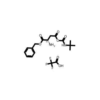 CC(C)(C)NC(=O)OC(=O)C[C@H](N)C(=O)OCc1ccccc1.O=C(O)C(F)(F)F